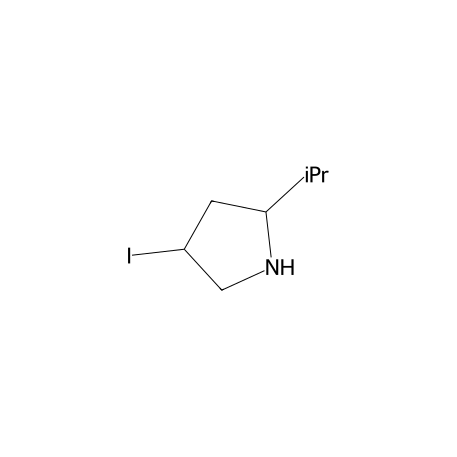 CC(C)C1CC(I)CN1